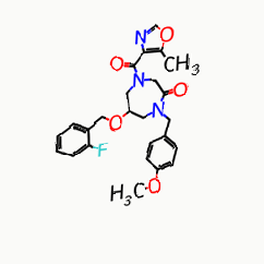 COc1ccc(CN2CC(OCc3ccccc3F)CN(C(=O)c3ncoc3C)CC2=O)cc1